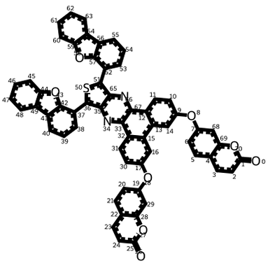 O=c1ccc2ccc(Oc3ccc4c(c3)c3cc(Oc5ccc6ccc(=O)oc6c5)ccc3c3nc5c(-c6cccc7c6oc6ccccc67)sc(-c6cccc7c6oc6ccccc67)c5nc43)cc2o1